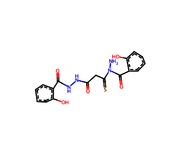 NN(C(=O)c1ccccc1O)C(=S)CC(=O)NNC(=O)c1ccccc1O